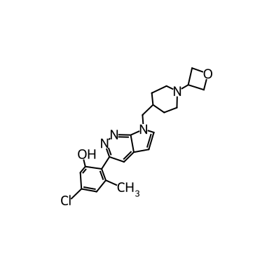 Cc1cc(Cl)cc(O)c1-c1cc2ccn(CC3CCN(C4COC4)CC3)c2nn1